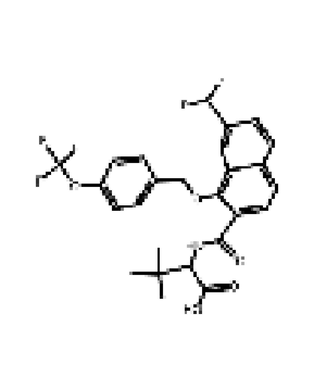 CC(C)(C)C(NC(=O)c1ccc2ccc(C(F)F)cc2c1OCc1ccc(OC(F)(F)F)cc1)C(=O)O